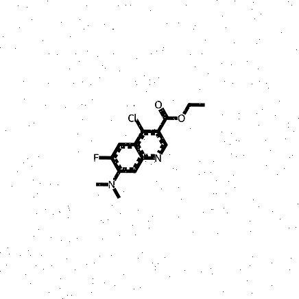 CCOC(=O)c1cnc2cc(N(C)C)c(F)cc2c1Cl